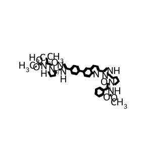 COC(=O)N[C@H](C(=O)N1CCC[C@H]1c1ncc(-c2ccc(-c3ccc4nc(-c5c[nH]c(C6CCCN6C(=O)[C@H](NC(=O)OC)c6ccccc6)n5)ccc4c3)cc2)[nH]1)C(C)C